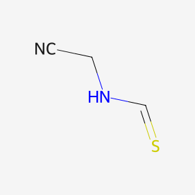 N#CCNC=S